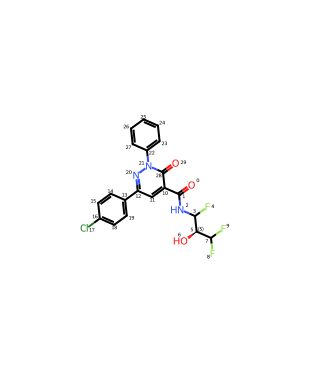 O=C(NC(F)[C@H](O)C(F)F)c1cc(-c2ccc(Cl)cc2)nn(-c2ccccc2)c1=O